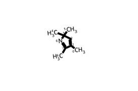 CC1=CC(C)(C)N=C1C